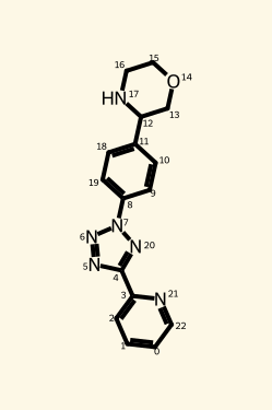 c1ccc(-c2nnn(-c3ccc(C4COCCN4)cc3)n2)nc1